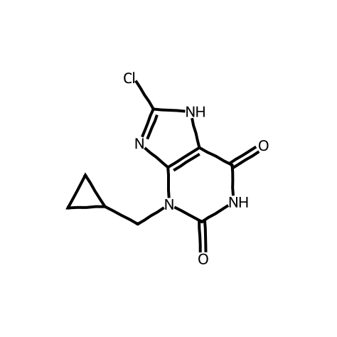 O=c1[nH]c(=O)n(CC2CC2)c2nc(Cl)[nH]c12